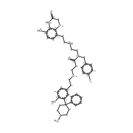 CN1CCC(c2ccccc2)(c2cc(CCOCCC(=O)N(CCNCCc3ccc(O)c4c3OCC(=O)N4)Cc3ccc(F)cc3)ccc2O)CC1